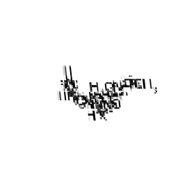 Cc1nc(C2CCN(C)C2)ccc1-c1cc2cnc(Nc3ccc(NC4CCNCC4)cc3)nc2n(CC2CC2)c1=O